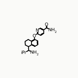 CC(C)C(N)C1CCCc2c(Oc3ccc(C(N)=O)cn3)cccc21